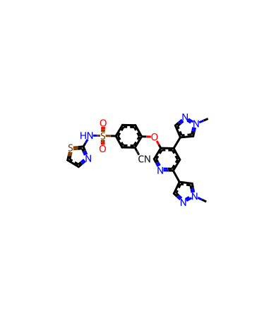 Cn1cc(-c2cc(-c3cnn(C)c3)c(Oc3ccc(S(=O)(=O)Nc4nccs4)cc3C#N)cn2)cn1